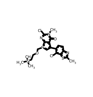 Cc1nc2ccc(-c3cn(COCC[Si](C)(C)C)c4nc(Cl)n(C)c(=O)c34)c(Cl)c2s1